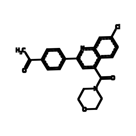 CC(=O)c1ccc(-c2cc(C(=O)N3CCOCC3)c3ccc(Cl)cc3n2)cc1